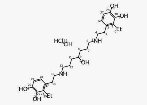 CCc1c(CCNCCCC(O)CCCNCCc2ccc(O)c(O)c2CC)ccc(O)c1O.Cl.Cl